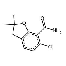 CC1(C)Cc2ccc(Cl)c(C(N)=O)c2O1